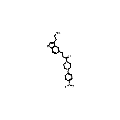 NCCc1c[nH]c2ccc(CCC(=O)N3CCN(c4ccc([N+](=O)[O-])cc4)CC3)cc12